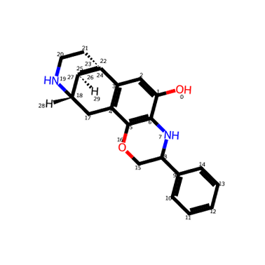 Oc1cc2c(c3c1NC(c1ccccc1)CO3)C[C@@H]1NCC[C@]23CCCC[C@H]13